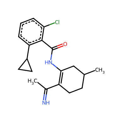 CC(=N)C1=C(NC(=O)c2c(Cl)cccc2C2CC2)CC(C)CC1